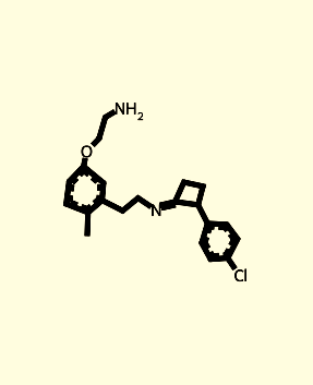 Cc1ccc(OCCN)cc1CC/N=C1\CCC1c1ccc(Cl)cc1